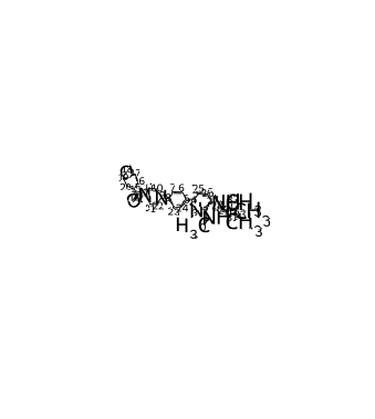 CNc1nc(-c2ccc(N3CCN(C(=O)C4CCOCC4)CC3)cc2)ccc1NCC(C)(C)C